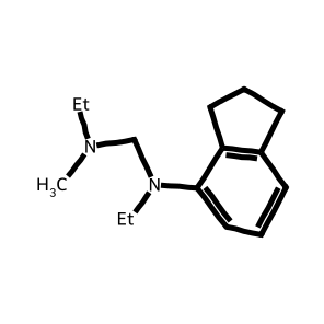 CCN(C)CN(CC)c1cccc2c1CCC2